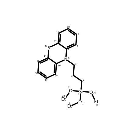 CCO[Si](CCCN1c2ccccc2Sc2ccccc21)(OCC)OCC